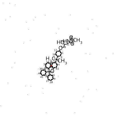 CC(C)(c1ccc(OCC(O)CNS(C)(=O)=O)cc1)c1ccc(OC(c2ccccc2)(c2ccccc2)c2ccccc2)cc1